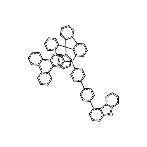 c1ccc2c(c1)-c1ccccc1C21c2ccccc2-c2cccc(N(c3ccc(-c4ccc(-c5cccc6oc7ccccc7c56)cc4)cc3)c3ccc4c5ccccc5c5ccccc5c4c3)c21